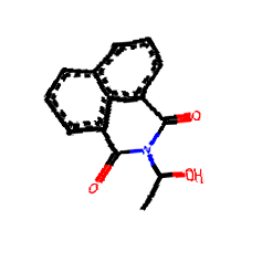 CC(O)N1C(=O)c2cccc3cccc(c23)C1=O